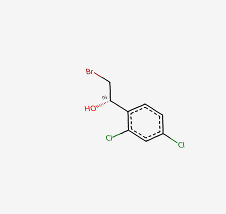 O[C@H](CBr)c1ccc(Cl)cc1Cl